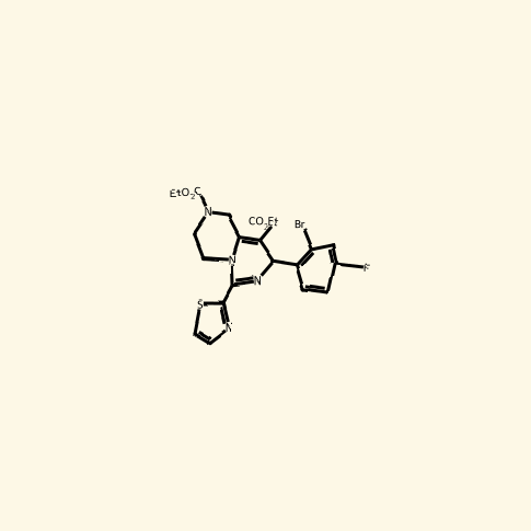 CCOC(=O)C1=C2CN(C(=O)OCC)CCN2C(c2nccs2)=NC1c1ccc(F)cc1Br